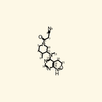 CC1CCN(C(=O)CC#N)CC1N(C)c1ncnc2c1CCON2